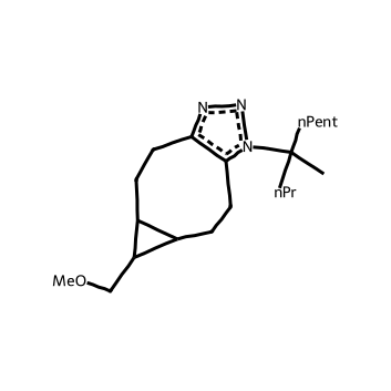 CCCCCC(C)(CCC)n1nnc2c1CCC1C(CC2)C1COC